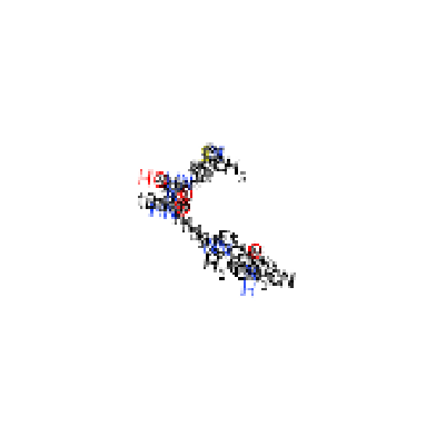 CCc1cc2c(cc1N1CCN(CCCCCCCC(=O)N[C@H](C(=O)N3C[C@H](O)CC3C(=O)NCc3ccc(-c4scnc4C)cc3)C(C)(C)C)CC1)C(C)(C)c1[nH]c3cc(C#N)ccc3c1C2=O